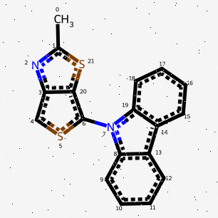 Cc1nc2csc(-n3c4ccccc4c4ccccc43)c2s1